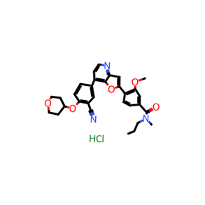 CCCN(C)C(=O)c1ccc(-c2cc3nccc(-c4ccc(OC5CCOCC5)c(C#N)c4)c3o2)c(OC)c1.Cl